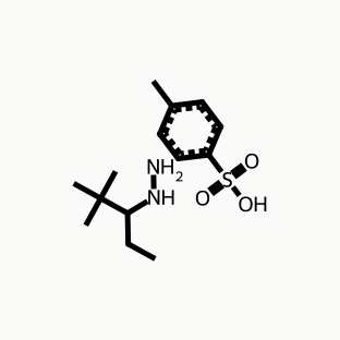 CCC(NN)C(C)(C)C.Cc1ccc(S(=O)(=O)O)cc1